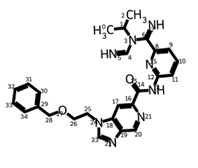 CC(C)N(C=N)C(=N)c1cccc(NC(=O)c2cc3c(cn2)ncn3CCOCc2ccccc2)n1